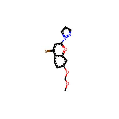 COCOc1ccc2c(=S)cc(-n3cccn3)oc2c1